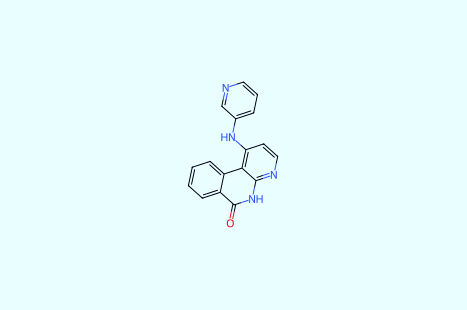 O=c1[nH]c2nccc(Nc3cccnc3)c2c2ccccc12